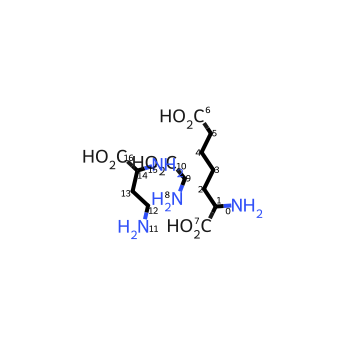 NC(CCCCC(=O)O)C(=O)O.NCC(=O)O.NCCC(N)C(=O)O